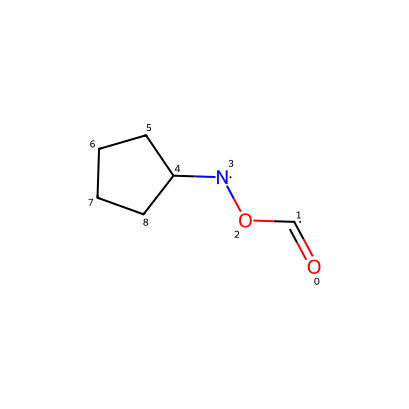 O=[C]O[N]C1CCCC1